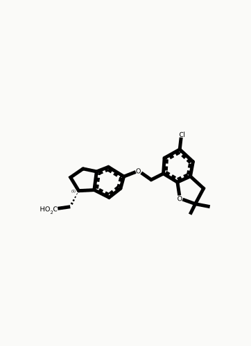 CC1(C)Cc2cc(Cl)cc(COc3ccc4c(c3)CC[C@H]4CC(=O)O)c2O1